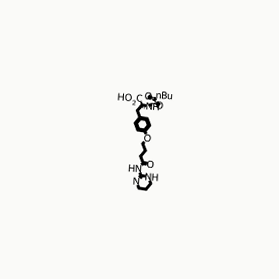 CCCCS(=O)(=O)N[C@@H](Cc1ccc(OCCCC(=O)NC2=NCCCN2)cc1)C(=O)O